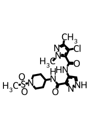 Cc1nn(C)c(C(=O)Nc2c[nH]nc2C(=O)NC2CCN(S(C)(=O)=O)CC2)c1Cl